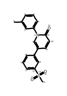 Cc1cccc(-n2cc(-c3cccc(S(C)(=O)=O)c3)ccc2=O)c1